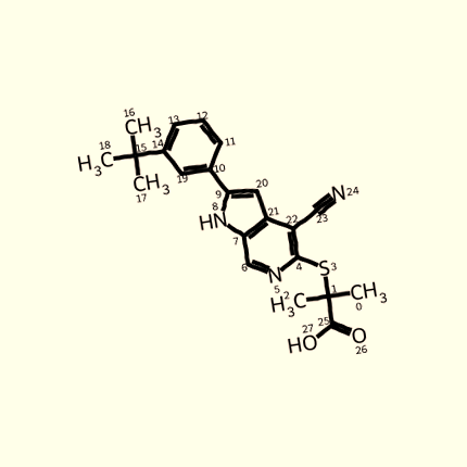 CC(C)(Sc1ncc2[nH]c(-c3cccc(C(C)(C)C)c3)cc2c1C#N)C(=O)O